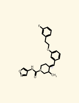 CC1CN(C(=O)Nc2cnoc2)CC/C1=C\c1cccc(OCCc2cccc(F)c2)c1